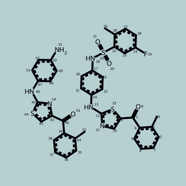 Cc1ccccc1C(=O)c1cnc(Nc2ccc(NS(=O)(=O)c3cc(F)ccc3C)cc2)s1.Cc1ccccc1C(=O)c1csc(Nc2ccc(N)cc2)n1